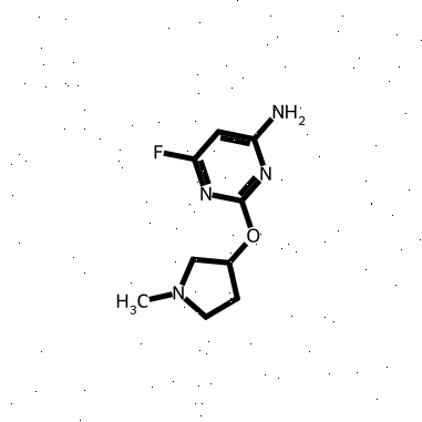 CN1CCC(Oc2nc(N)cc(F)n2)C1